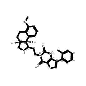 COc1cccc2c1CC[C@H]1CNC(CCn3c(=O)[nH]c4c(-c5ccccc5C)csc4c3=O)[C@@H]21